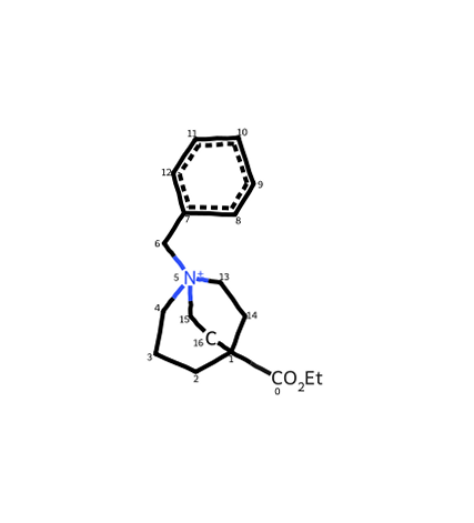 CCOC(=O)C12CCC[N+](Cc3ccccc3)(CC1)CC2